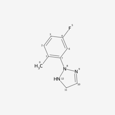 Cc1ccc(F)cc1N1N=CCN1